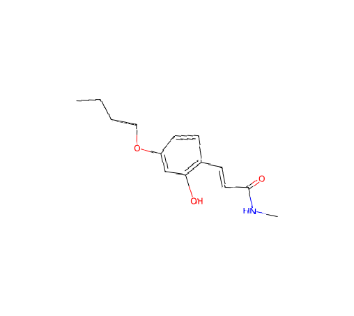 CCCCOc1ccc(/C=C/C(=O)NC)c(O)c1